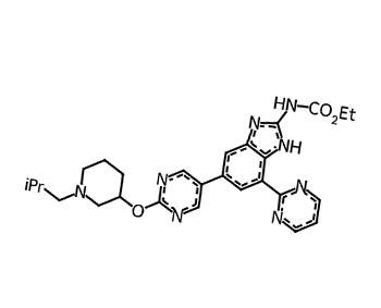 CCOC(=O)Nc1nc2cc(-c3cnc(OC4CCCN(CC(C)C)C4)nc3)cc(-c3ncccn3)c2[nH]1